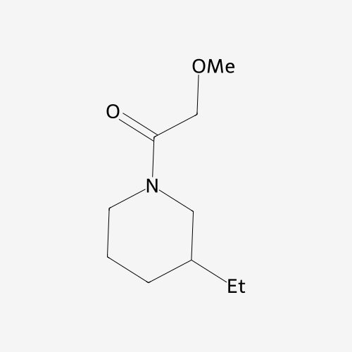 CCC1CCCN(C(=O)COC)C1